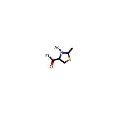 CCC(=O)C1CSC(C)N1C(C)=O